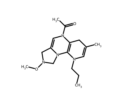 CCCN1C=C(C)CC2=C1N1CN(OC)CC1=CN2C(C)=O